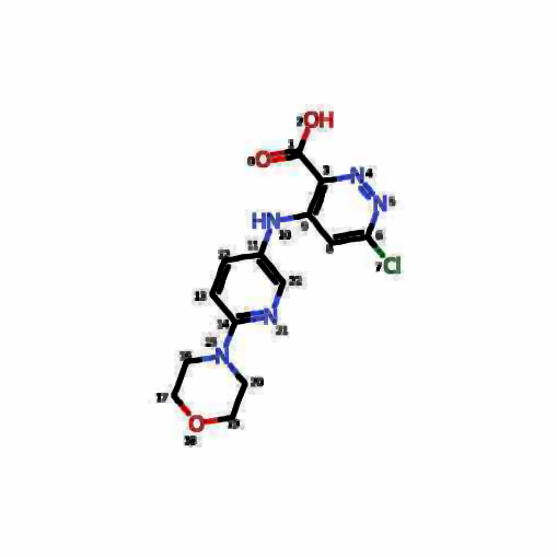 O=C(O)c1nnc(Cl)cc1Nc1ccc(N2CCOCC2)nc1